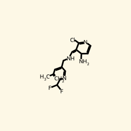 C=C(C)/C=C(\C=N/CC(F)F)CN/C=C1/C(Cl)=NC=CC1N